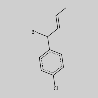 CC=CC(Br)c1ccc(Cl)cc1